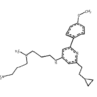 COc1ccc(-c2cc(NCCCN(C)CCCN)cc(CCC3CC3)n2)cc1